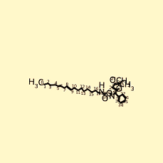 CCCCC/C=C/C/C=C/CCCCCCCCNC(=O)ON=C(C1=CC(=O)C(C)(C)O1)c1ccccc1